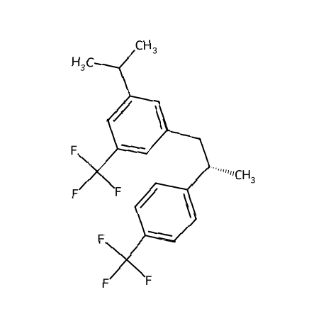 CC(C)c1cc(C[C@H](C)c2ccc(C(F)(F)F)cc2)cc(C(F)(F)F)c1